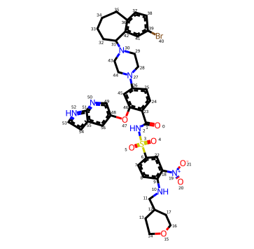 O=C(NS(=O)(=O)c1ccc(NCC2CCOCC2)c([N+](=O)[O-])c1)c1ccc(N2CCN(C3CCCCc4ccc(Br)cc43)CC2)cc1Oc1cnc2[nH]ccc2c1